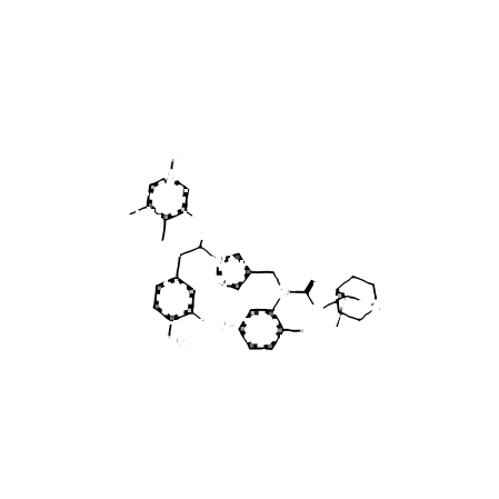 COc1ccc([C@H](Cc2c(Cl)c[n+]([O-])cc2Cl)C(C(=O)O)n2cc(CN(C(=O)O[C@H]3CN4CCC3CC4)c3ccccc3F)cn2)cc1OC